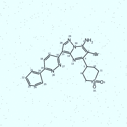 Nc1c(Br)c(C2CCS(=O)(=O)CC2)nc2c(-c3ccc(-c4ccccc4)nn3)cnn12